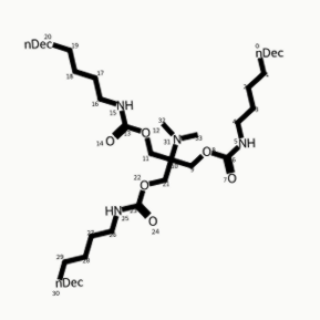 CCCCCCCCCCCCCCNC(=O)OCC(COC(=O)NCCCCCCCCCCCCCC)(COC(=O)NCCCCCCCCCCCCCC)N(C)C